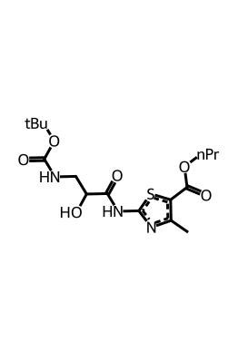 CCCOC(=O)c1sc(NC(=O)C(O)CNC(=O)OC(C)(C)C)nc1C